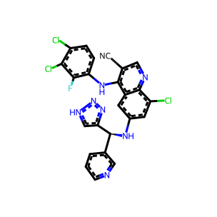 N#Cc1cnc2c(Cl)cc(N[C@@H](c3cccnc3)c3c[nH]nn3)cc2c1Nc1ccc(Cl)c(Cl)c1F